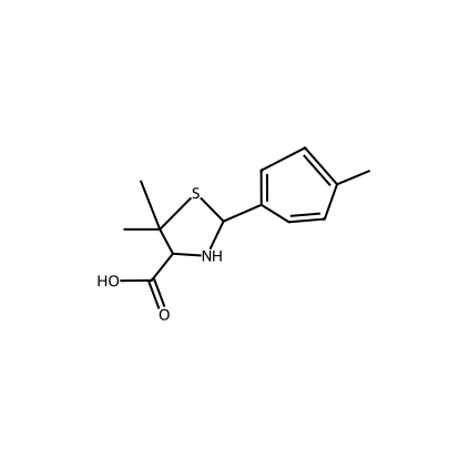 Cc1ccc(C2NC(C(=O)O)C(C)(C)S2)cc1